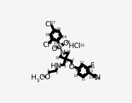 COCCNCC1(COc2ccc(C#N)c(F)c2)CN(S(=O)(=O)c2ccc(Cl)cc2Cl)C1.Cl